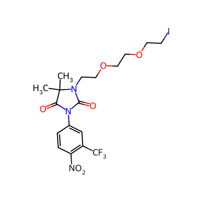 CC1(C)C(=O)N(c2ccc([N+](=O)[O-])c(C(F)(F)F)c2)C(=O)N1CCOCCOCCI